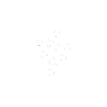 c1ccc(-c2nc(-c3ccccc3)nc(-c3ccc4oc5cccc(-c6ccc7nc(-c8ccccc8)nc(-c8ccccc8)c7c6)c5c4c3)n2)cc1